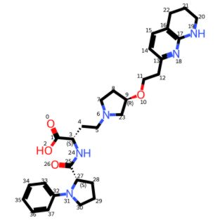 O=C(O)[C@H](CCN1CC[C@@H](OCCc2ccc3c(n2)NCCC3)C1)NC(=O)[C@@H]1CCCN1c1ccccc1